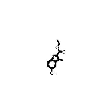 CCOC(=O)c1sc2ccc(O)cc2c1C